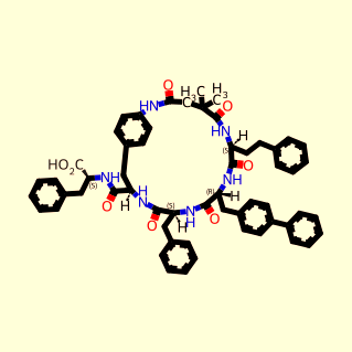 CC1(C)CC(=O)Nc2ccc(cc2)C[C@H](C(=O)N[C@@H](Cc2ccccc2)C(=O)O)NC(=O)[C@H](Cc2ccccc2)NC(=O)[C@@H](Cc2ccc(-c3ccccc3)cc2)NC(=O)[C@H](CCc2ccccc2)NC1=O